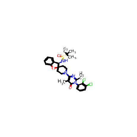 Cc1c(N2CCC3(CC2)Oc2ccccc2[C@H]3N[S+]([O-])C(C)(C)C)nc(C)n(-c2cccc(Cl)c2Cl)c1=O